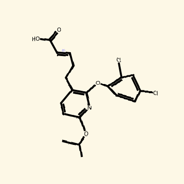 CC(C)Oc1ccc(CC/C=C/C(=O)O)c(Oc2ccc(Cl)cc2Cl)n1